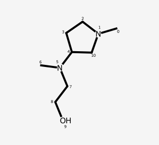 CN1CCC(N(C)CCO)C1